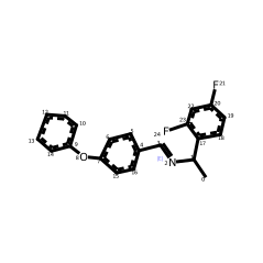 CC(/N=C/c1ccc(Oc2ccccc2)cc1)c1ccc(F)cc1F